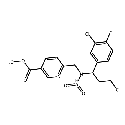 COC(=O)c1ccc(CN(C(CCCl)c2ccc(F)c(Cl)c2)[SH](=O)=O)nc1